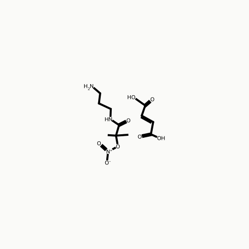 CC(C)(O[N+](=O)[O-])C(=O)NCCCN.O=C(O)C=CC(=O)O